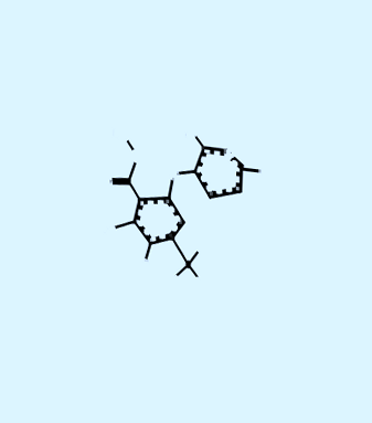 COC(=O)c1c(Oc2ccc(F)nc2C)cc(C(F)(F)F)c(Cl)c1C